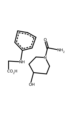 NC(=O)N1CCC(O)CC1.O=C(O)CNc1ccccc1